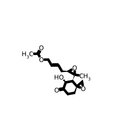 CC(=O)OC/C=C/C[C@H]1OC1(C)[C@H]1[C@H](O)C(=O)CC[C@]12CO2